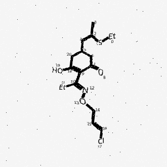 CCSC(C)CC1CC(=O)C(C(CC)=NOCC=CCl)=C(O)C1